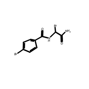 NC(=O)C(Br)NC(=O)c1ccc(Br)cc1